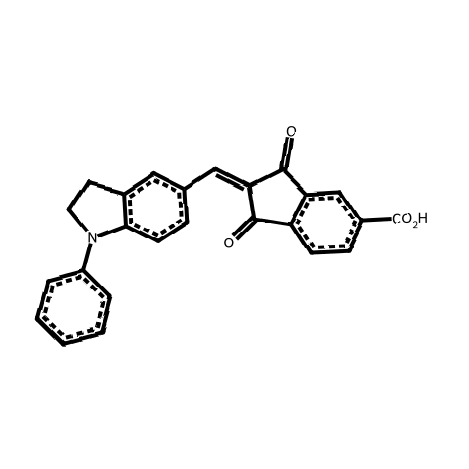 O=C(O)c1ccc2c(c1)C(=O)C(=Cc1ccc3c(c1)CCN3c1ccccc1)C2=O